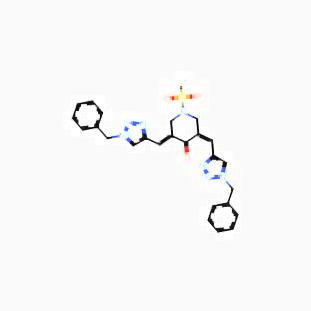 CCS(=O)(=O)N1CC(=Cc2cn(Cc3ccccc3)nn2)C(=O)C(=Cc2cn(Cc3ccccc3)nn2)C1